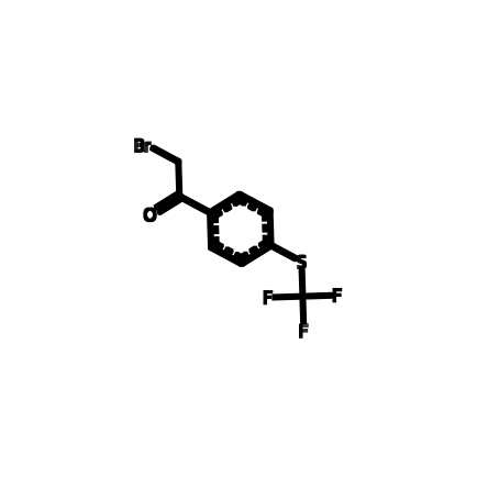 O=C(CBr)c1ccc(SC(F)(F)F)cc1